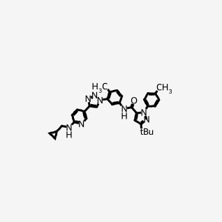 Cc1ccc(-n2nc(C(C)(C)C)cc2C(=O)Nc2ccc(C)c(-n3cc(-c4ccc(NCC5CC5)nc4)nn3)c2)cc1